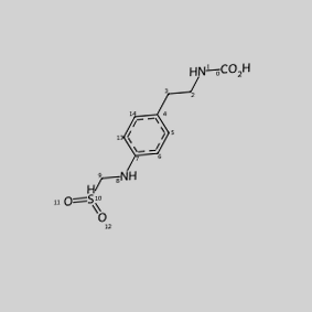 O=C(O)NCCc1ccc(NC[SH](=O)=O)cc1